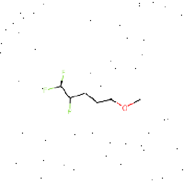 COCCCC(F)C(F)F